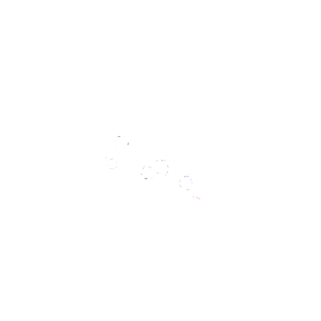 O=C(O)c1ccc(Oc2ccc3cc(OCc4c(-c5c(Cl)cccc5Cl)noc4C4CC4)ccc3c2)nc1